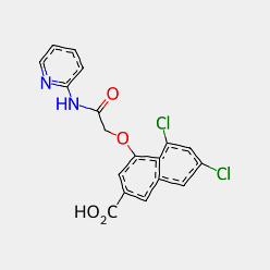 O=C(COc1cc(C(=O)O)cc2cc(Cl)cc(Cl)c12)Nc1ccccn1